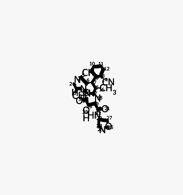 Cc1cnc(C)c([C@@H](c2ccccc2C#N)[C@H](C)c2nc(C(=O)Nc3cnoc3)c(O)c(=O)n2C)n1